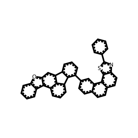 c1ccc(-c2nc3ccc4ccc5ccc(-c6cccc7c6-c6cccc8c6c-7cc6oc7ccccc7c68)cc5c4c3s2)cc1